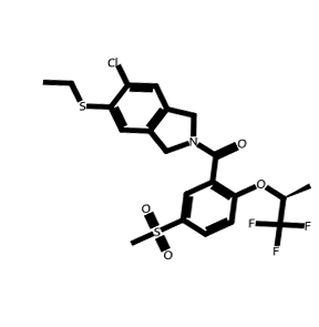 CCSc1cc2c(cc1Cl)CN(C(=O)c1cc(S(C)(=O)=O)ccc1O[C@@H](C)C(F)(F)F)C2